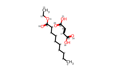 CCCCCCCCCC(=O)OCC.O=C(O)/C=C/C(=O)O